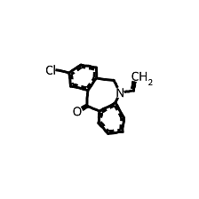 C=CN1Cc2ccc(Cl)cc2C(=O)c2ccccc21